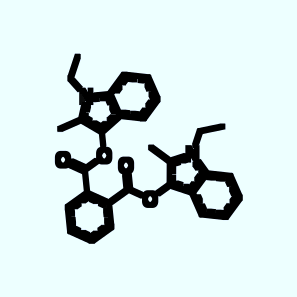 CCn1c(C)c(OC(=O)c2ccccc2C(=O)Oc2c(C)n(CC)c3ccccc23)c2ccccc21